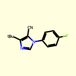 CC(C)(C)c1ncn(-c2ccc(F)cc2)c1C#N